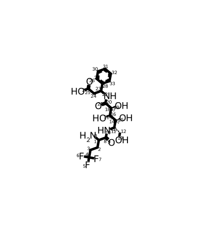 NC(CCC(F)(F)F)C(=O)N[C@@H](CO)[C@@H](O)[C@@H](O)[C@H](O)C(=O)NC(CC(=O)O)c1ccccc1